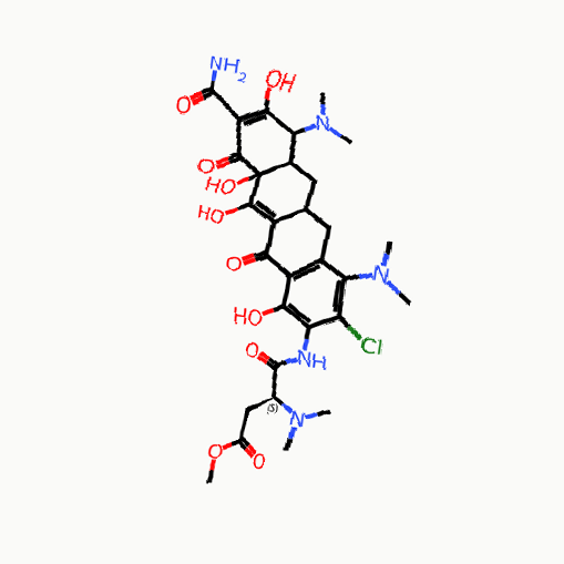 COC(=O)C[C@@H](C(=O)Nc1c(O)c2c(c(N(C)C)c1Cl)CC1CC3C(N(C)C)C(O)=C(C(N)=O)C(=O)C3(O)C(O)=C1C2=O)N(C)C